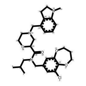 CC(C)CN(Cc1cc(Cl)c2c(c1)OCCCO2)C(=O)C1CN(Cc2cccc3c2CCN3C)CCO1